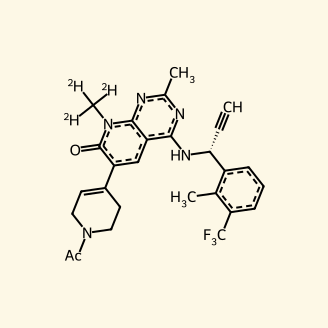 [2H]C([2H])([2H])n1c(=O)c(C2=CCN(C(C)=O)CC2)cc2c(N[C@H](C#C)c3cccc(C(F)(F)F)c3C)nc(C)nc21